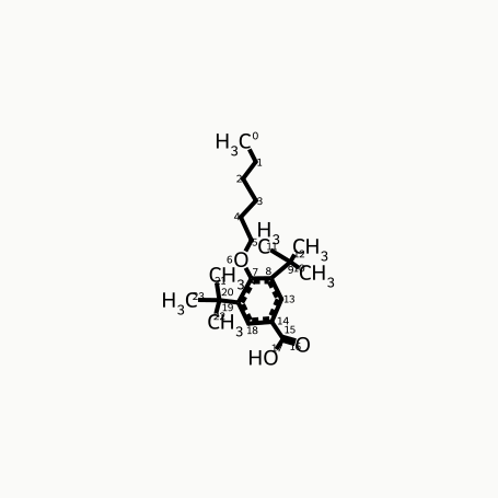 CCCCCCOc1c(C(C)(C)C)cc(C(=O)O)cc1C(C)(C)C